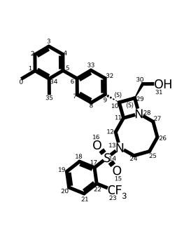 Cc1cccc(-c2ccc([C@H]3C4CN(S(=O)(=O)c5ccccc5C(F)(F)F)CCCCN4[C@@H]3CO)cc2)c1C